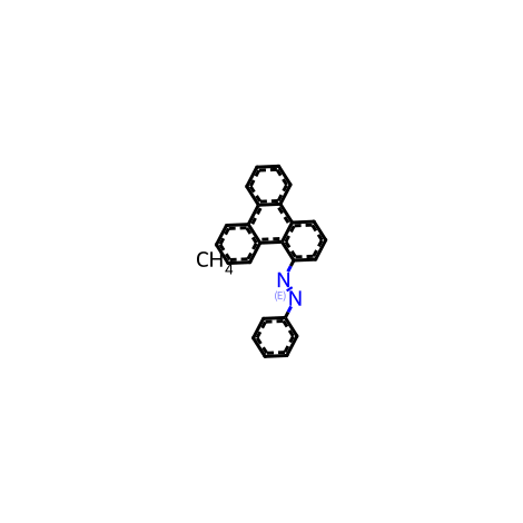 C.c1ccc(/N=N/c2cccc3c4ccccc4c4ccccc4c23)cc1